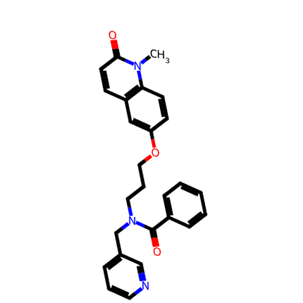 Cn1c(=O)ccc2cc(OCCCN(Cc3cccnc3)C(=O)c3ccccc3)ccc21